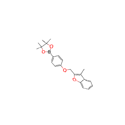 Cc1c(COc2ccc(B3OC(C)(C)C(C)(C)O3)cc2)oc2ccccc12